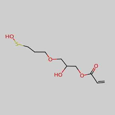 C=CC(=O)OCC(O)COCCCSO